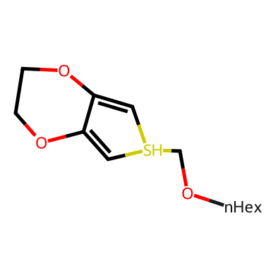 CCCCCCOC[SH]1C=C2OCCOC2=C1